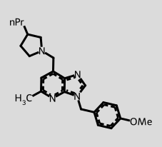 CCCC1CCN(Cc2cc(C)nc3c2ncn3Cc2ccc(OC)cc2)C1